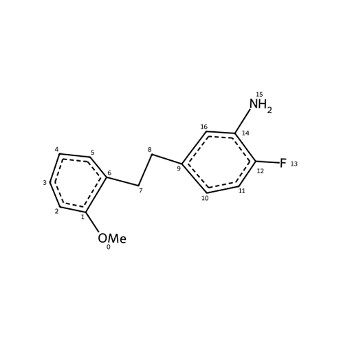 COc1ccccc1CCc1ccc(F)c(N)c1